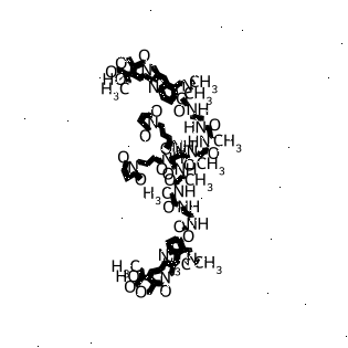 CC[C@@]1(O)C(=O)OCc2c1cc1n(c2=O)Cc2cc3c(CN(C)C)c(OC(=O)NCCNC(=O)[C@H](C)NC(=O)[C@H](C)NC(=O)[C@@H](NC(=O)CCCN4C(=O)C=CC4=O)[C@H](NC(=O)CCCN4C(=O)C=CC4=O)C(=O)N[C@@H](C)C(=O)N[C@@H](C)C(=O)NCCNC(=O)Oc4ccc5nc6c(cc5c4CN(C)C)Cn4c-6cc5c(c4=O)COC(=O)[C@]5(O)CC)ccc3nc2-1